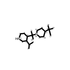 CC(C)C1CNCCC1C(C)(C)N1CCC(C(C)(C)C)CC1